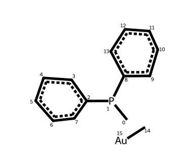 CP(c1ccccc1)c1ccccc1.[CH3][Au]